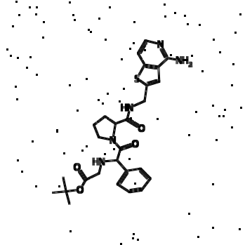 CC(C)(C)OC(=O)CNC(C(=O)N1CCCC1C(=O)NCc1cc2c(N)nccc2s1)c1ccccc1